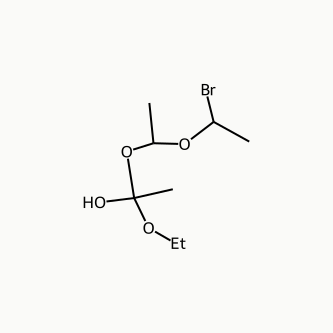 CCOC(C)(O)OC(C)OC(C)Br